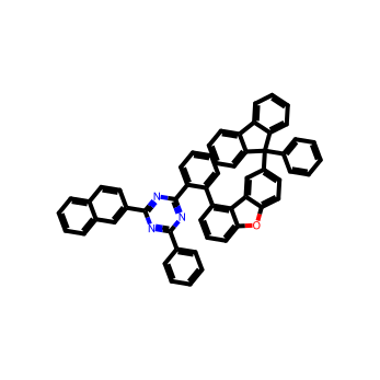 c1ccc(-c2nc(-c3ccc4ccccc4c3)nc(-c3ccccc3-c3cccc4oc5ccc(C6(c7ccccc7)c7ccccc7-c7ccccc76)cc5c34)n2)cc1